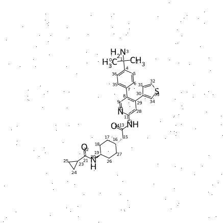 CC(C)(N)c1ccc(-c2cnc(NC(=O)C[C@H]3CC[C@H](NC(=O)C4CC4)CC3)cc2-c2ccsc2)cc1